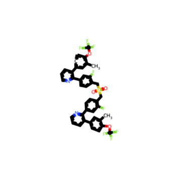 Cc1cc(-c2cccnc2-c2ccc(CS(=O)(=O)Cc3ccc(-c4ncccc4-c4ccc(OC(F)(F)F)c(C)c4)cc3F)c(F)c2)ccc1OC(F)(F)F